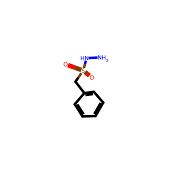 NNS(=O)(=O)Cc1ccccc1